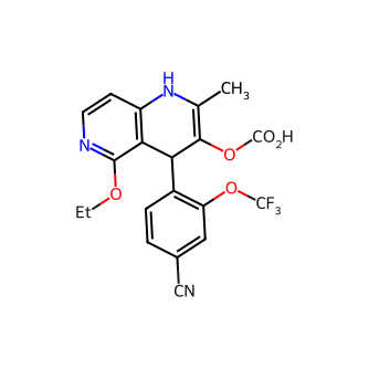 CCOc1nccc2c1C(c1ccc(C#N)cc1OC(F)(F)F)C(OC(=O)O)=C(C)N2